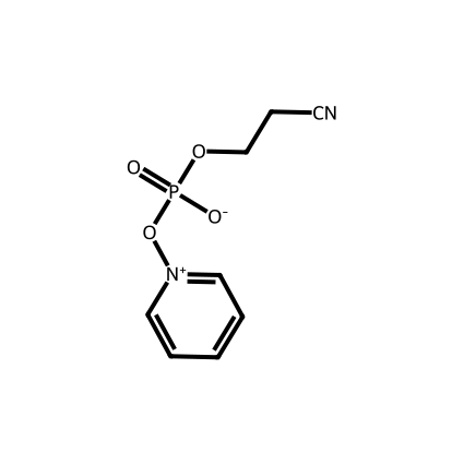 N#CCCOP(=O)([O-])O[n+]1ccccc1